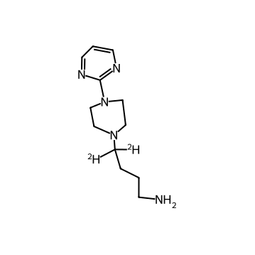 [2H]C([2H])(CCCN)N1CCN(c2ncccn2)CC1